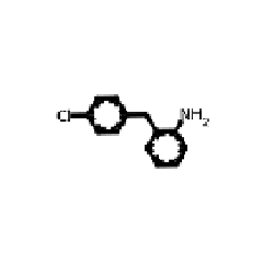 Nc1ccccc1Cc1ccc(Cl)cc1